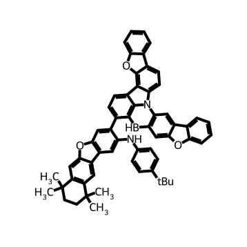 CC(C)(C)c1ccc(Nc2cc3c(cc2-c2ccc4c5c6oc7ccccc7c6ccc5n5c4c2Bc2cc4oc6ccccc6c4cc2-5)oc2cc4c(cc23)C(C)(C)CCC4(C)C)cc1